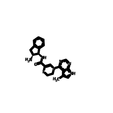 Cc1c[nH]c2ncnc(N3C=C(C(=O)N[C@@H]4c5ccccc5C[C@H]4N)SCC3)c12